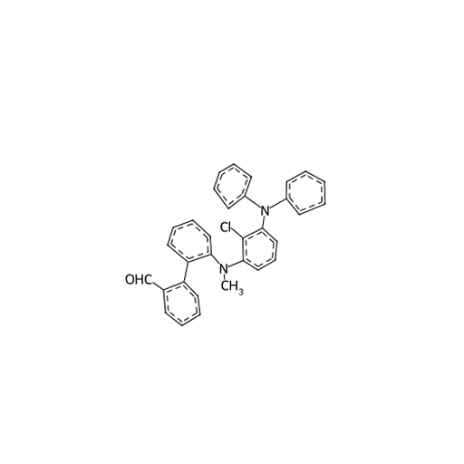 CN(c1ccccc1-c1ccccc1C=O)c1cccc(N(c2ccccc2)c2ccccc2)c1Cl